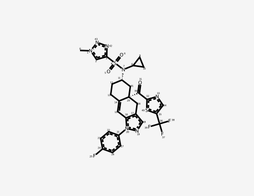 Cn1cc(S(=O)(=O)N(C2CC2)[C@H]2CCC3=Cc4c(cnn4-c4ccc(F)cc4)C[C@]3(C(=O)c3ncc(C(F)(F)F)s3)C2)nn1